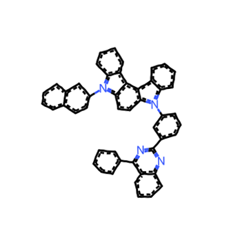 c1ccc(-c2nc(-c3cccc(-n4c5ccccc5c5c6c7ccccc7n(-c7ccc8ccccc8c7)c6ccc54)c3)nc3ccccc23)cc1